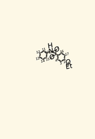 CCOc1ccc(S(=O)(=O)Nc2ccccc2)cc1